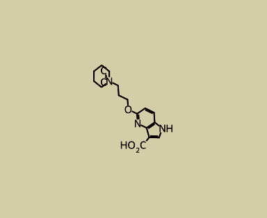 O=C(O)c1c[nH]c2ccc(OCCCN3CC4CCCC3CC4)nc12